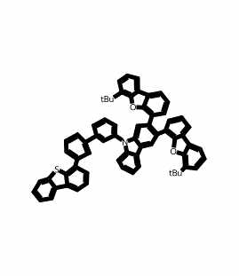 CC(C)(C)c1cccc2c1oc1c(-c3cc4c5ccccc5n(-c5cccc(-c6cccc(-c7cccc8c7sc7ccccc78)c6)c5)c4cc3-c3cccc4c3oc3c(C(C)(C)C)cccc34)cccc12